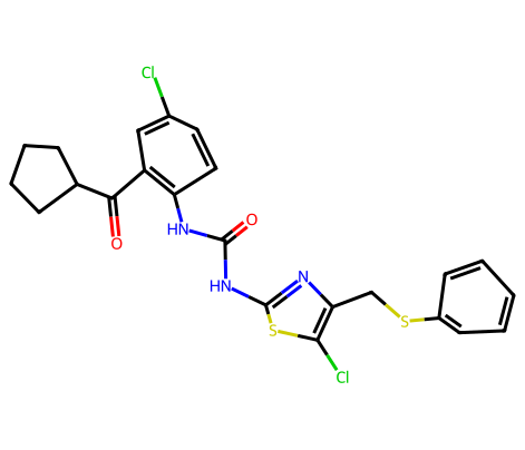 O=C(Nc1nc(CSc2ccccc2)c(Cl)s1)Nc1ccc(Cl)cc1C(=O)C1CCCC1